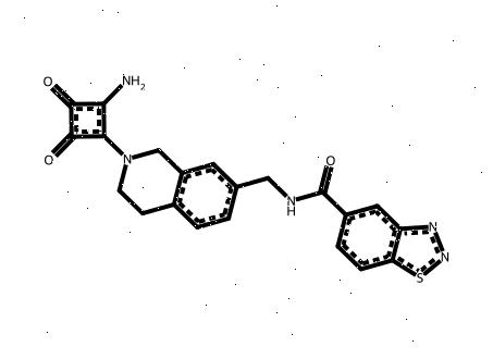 Nc1c(N2CCc3ccc(CNC(=O)c4ccc5snnc5c4)cc3C2)c(=O)c1=O